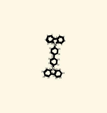 c1ccc2c3ccccc3n(C3=CC=C(C4=CC=C(N5C6=C(C=CCC6)C6C=CC=CC65)CC4)CC3)c2c#1